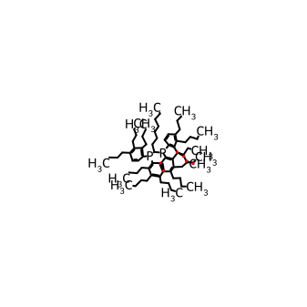 CCCCCCCC(P(c1ccc(CCCC)c(CCCC)c1CCCC)c1ccc(CCCC)c(CCCC)c1CCCC)P(c1ccc(CCCC)c(CCCC)c1CCCC)c1ccc(CCCC)c(CCCC)c1CCCC